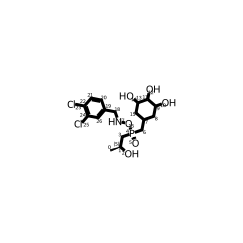 C[C@H](O)CP(=O)(CC1CC(O)C(O)C(O)C1)ONCc1ccc(Cl)c(Cl)c1